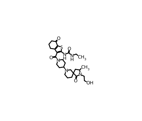 CCNC(=O)Nc1sc2c(c1C(=O)N1CCC(N3CCCC4(CC(C)N(CCO)C4=O)C3)CC1)CCCC2=O